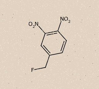 O=[N+]([O-])c1ccc(CF)cc1[N+](=O)[O-]